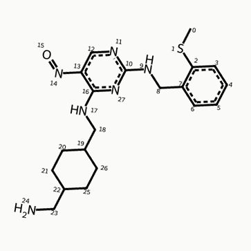 CSc1ccccc1CNc1ncc(N=O)c(NCC2CCC(CN)CC2)n1